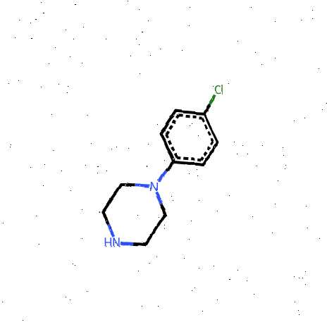 Clc1ccc(N2C[CH]NCC2)cc1